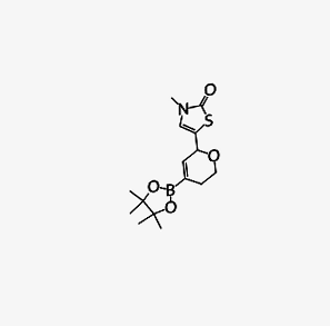 Cn1cc(C2C=C(B3OC(C)(C)C(C)(C)O3)CCO2)sc1=O